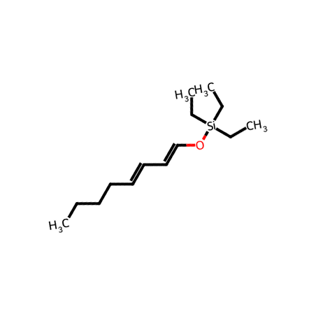 CCCCC=CC=CO[Si](CC)(CC)CC